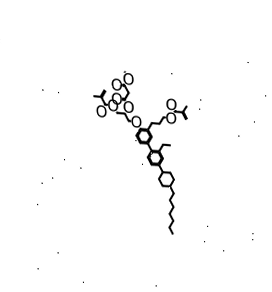 C=C(C)C(=O)OCCCc1cc(-c2ccc(C3CCC(CCCCCCC)CC3)cc2CC)ccc1OCC(COC(=O)C(=C)C)OC(=O)CC(=O)OC